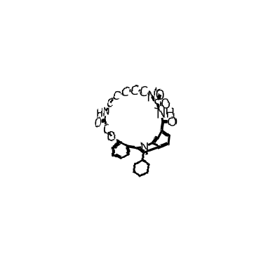 CN1CCCCCNC(=O)COc2ccccc2-c2c(C3CCCCC3)c3ccc(cc3n2C)C(=O)NS1(=O)=O